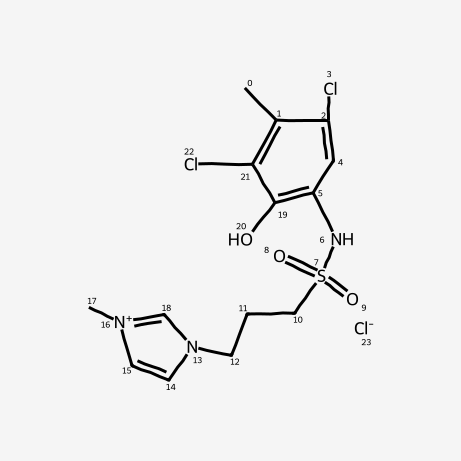 Cc1c(Cl)cc(NS(=O)(=O)CCCn2cc[n+](C)c2)c(O)c1Cl.[Cl-]